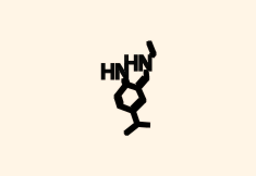 CCN/C=C1/C=C(C(C)C)C=CC1=N